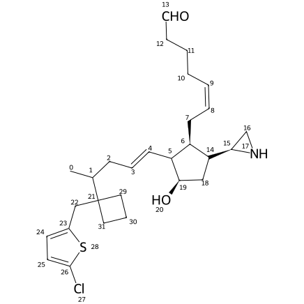 CC(C/C=C/C1[C@@H](C/C=C\CCCC=O)C([C@H]2CN2)C[C@H]1O)C1(Cc2ccc(Cl)s2)CCC1